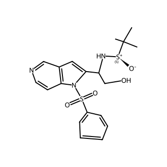 CC(C)(C)[S@@+]([O-])NC(CO)c1cc2cnccc2n1S(=O)(=O)c1ccccc1